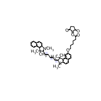 CN1/C(=C/C=C/C=C/C2=[N+](C)c3ccc4ccccc4c3C2(C)C)C(C)(C)c2c1ccc1ccc(OCCCCCC(=O)ON3C(=O)CCC3=O)cc21